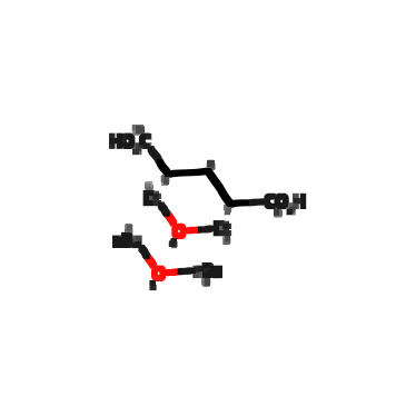 CCCCOCCCC.CCOCC.O=C(O)CCCC(=O)O